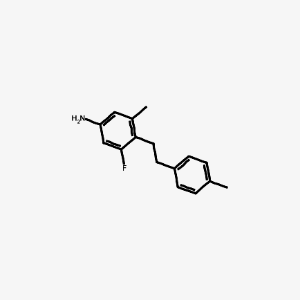 Cc1ccc(CCc2c(C)cc(N)cc2F)cc1